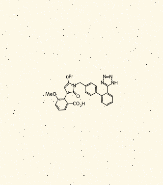 CCCc1cn(-c2c(OC)cccc2C(=O)O)c(=O)n1Cc1ccc(-c2ccccc2-c2nnn[nH]2)cc1